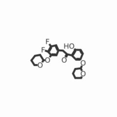 O=C(Cc1cc(F)c(F)c(OC2CCCCO2)c1)c1cc(OC2CCCCO2)ccc1O